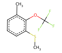 CSc1cccc(C)c1OC(F)(F)F